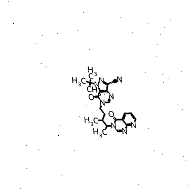 CC(CCn1cnc2c(C#N)nn(C(C)(C)C)c2c1=O)C(C)n1cnc2ncccc2c1=O